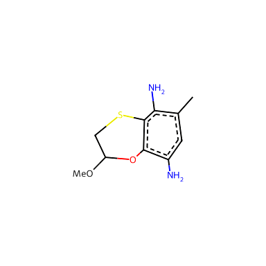 COC1CSc2c(N)c(C)cc(N)c2O1